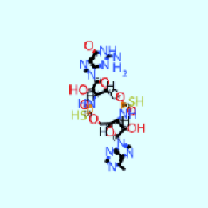 Cc1ncnc2c1ncn2[C@@H]1O[C@@H]2CO[P@](=O)(S)N[C@H]3[C@@H](O)[C@H](n4cnc5c(=O)[nH]c(N)nc54)O[C@@H]3CO[P@@](=O)(S)N[C@H]2[C@H]1O